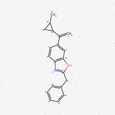 C=C(c1ccc2nc(Cc3ccccc3)oc2c1)C1CC1C